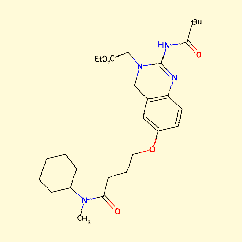 CCOC(=O)CN1Cc2cc(OCCCC(=O)N(C)C3CCCCC3)ccc2N=C1NC(=O)C(C)(C)C